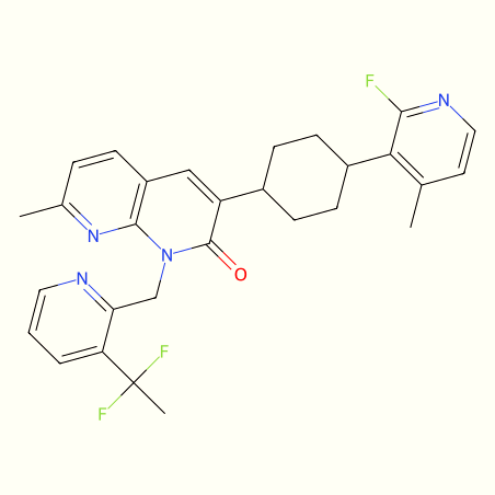 Cc1ccc2cc(C3CCC(c4c(C)ccnc4F)CC3)c(=O)n(Cc3ncccc3C(C)(F)F)c2n1